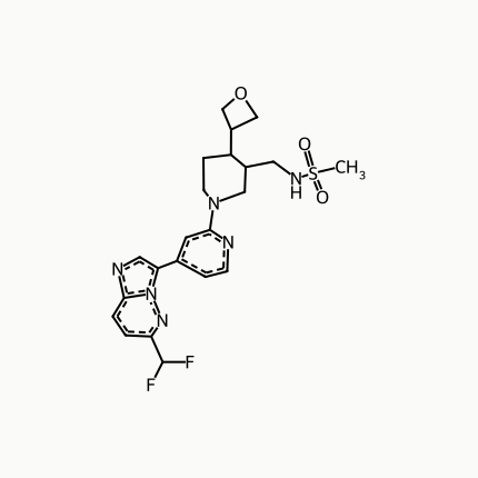 CS(=O)(=O)NCC1CN(c2cc(-c3cnc4ccc(C(F)F)nn34)ccn2)CCC1C1COC1